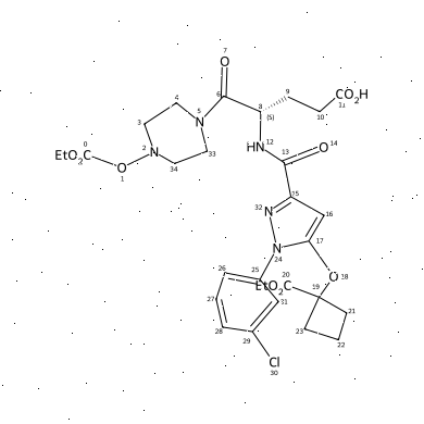 CCOC(=O)ON1CCN(C(=O)[C@H](CCC(=O)O)NC(=O)c2cc(OC3(C(=O)OCC)CCC3)n(-c3cccc(Cl)c3)n2)CC1